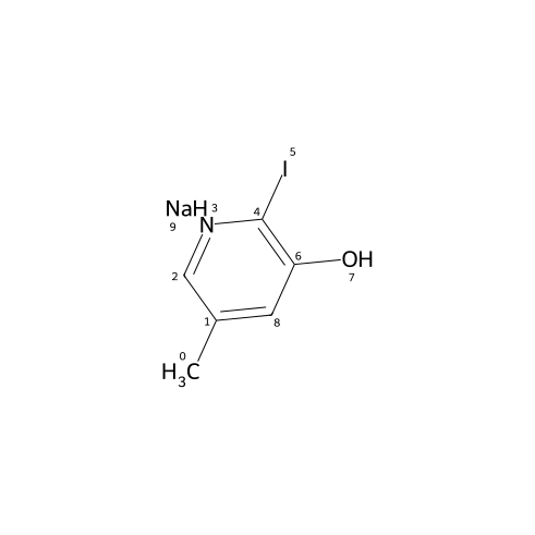 Cc1cnc(I)c(O)c1.[NaH]